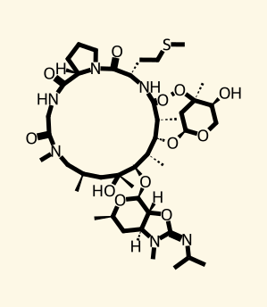 CO[C@]1(C)C[C@H](O[C@@H]2[C@H](C)[C@@H](O[C@@H]3O[C@H](C)C[C@H]4[C@H]3O/C(=N/C(C)C)N4C)[C@](C)(O)C[C@@H](C)CN(C)C(=O)CNC(=O)[C@@H]3CCCN3C(=O)[C@H](CCSC)NC(=O)[C@@H]2C)OC[C@@H]1O